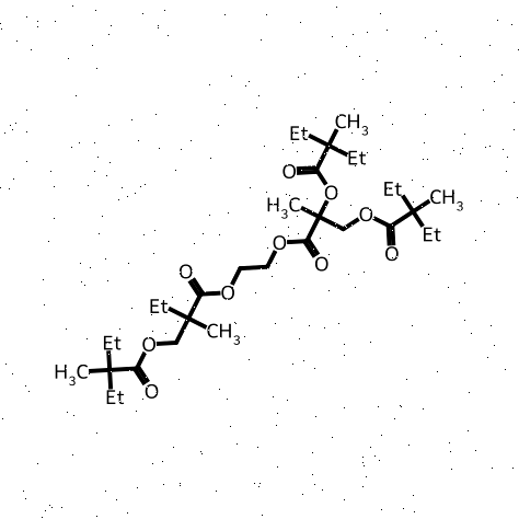 CCC(C)(CC)C(=O)OCC(C)(CC)C(=O)OCCOC(=O)C(C)(COC(=O)C(C)(CC)CC)OC(=O)C(C)(CC)CC